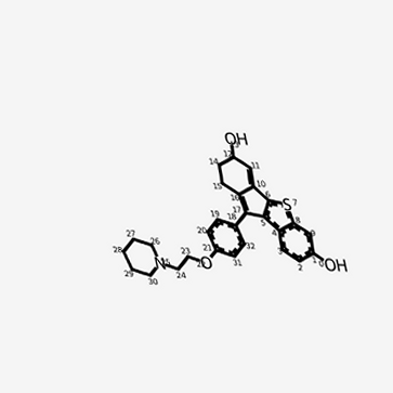 Oc1ccc2c3c(sc2c1)C1=CC(O)CCC1=C3c1ccc(OCCN2CCCCC2)cc1